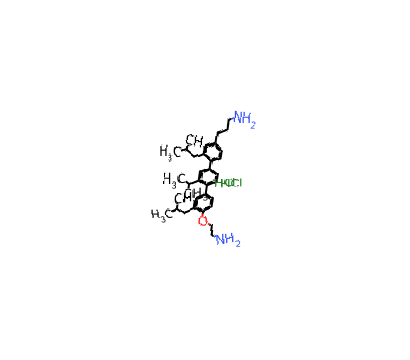 CC(C)Cc1cc(-c2ccc(-c3ccc(CCCN)cc3CC(C)C)cc2C(C)C)ccc1OCCN.Cl.Cl